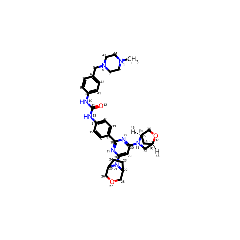 CN1CCN(Cc2ccc(NC(=O)Nc3ccc(-c4nc(N5C6CCC5COC6)cc(N5C[C@H]6C[C@@H]5CO6)n4)cc3)cc2)CC1